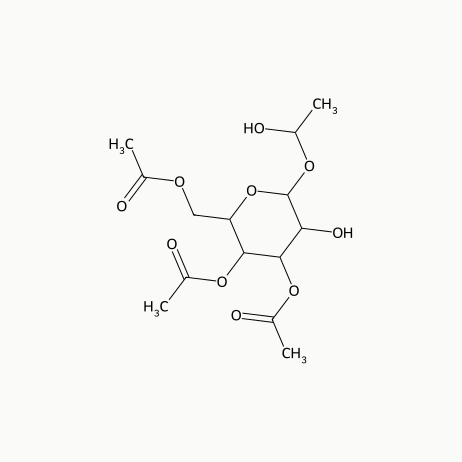 CC(=O)OCC1OC(OC(C)O)C(O)C(OC(C)=O)C1OC(C)=O